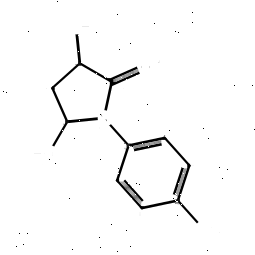 CC1CC(O)N(c2ccc(C(C)(C)C)cc2)C1=O